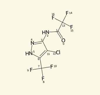 O=C(Nc1n[nH]c(C(F)(F)F)c1Cl)C(F)(F)F